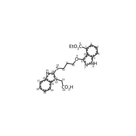 CCOC(=O)c1cccc2[nH]nc(OCCCSc3nc4ccccc4n3CC(=O)O)c12